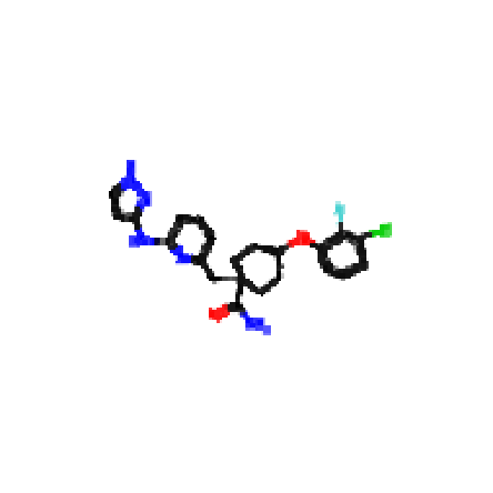 NC(=O)C1(Cc2cccc(Nc3cc[nH]n3)n2)CCC(Oc2cccc(Cl)c2F)CC1